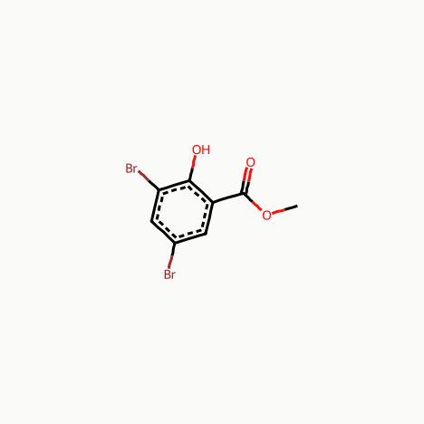 COC(=O)c1cc(Br)cc(Br)c1O